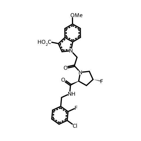 COc1ccc2c(c1)c(C(=O)O)cn2CC(=O)N1C[C@H](F)C[C@H]1C(=O)NCc1cccc(Cl)c1F